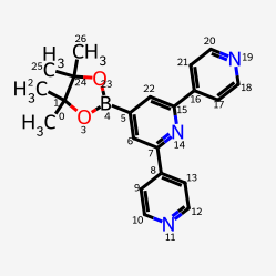 CC1(C)OB(c2cc(-c3ccncc3)nc(-c3ccncc3)c2)OC1(C)C